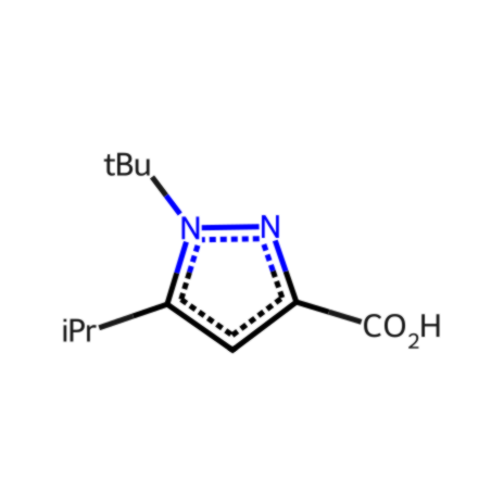 CC(C)c1cc(C(=O)O)nn1C(C)(C)C